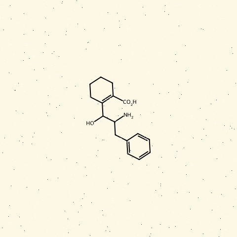 NC(Cc1ccccc1)C(O)C1=C(C(=O)O)CCCC1